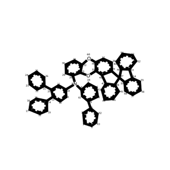 c1ccc(-c2cccc(N(c3ccc(-c4ccccc4)c(-c4ccccc4)c3)c3cccc4c3Oc3c(ccc5c3-c3ccccc3C53c5ccccc5-c5ccccc53)O4)c2)cc1